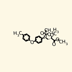 COC(=O)[C@H](CN(c1ccc(Oc2ccc(C)cc2)cc1)S(C)(=O)=O)OC